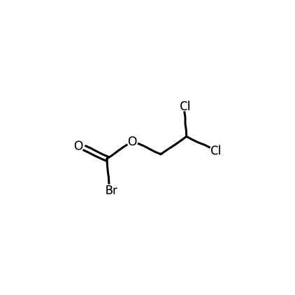 O=C(Br)OCC(Cl)Cl